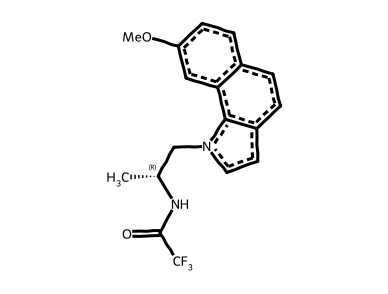 COc1ccc2ccc3ccn(C[C@@H](C)NC(=O)C(F)(F)F)c3c2c1